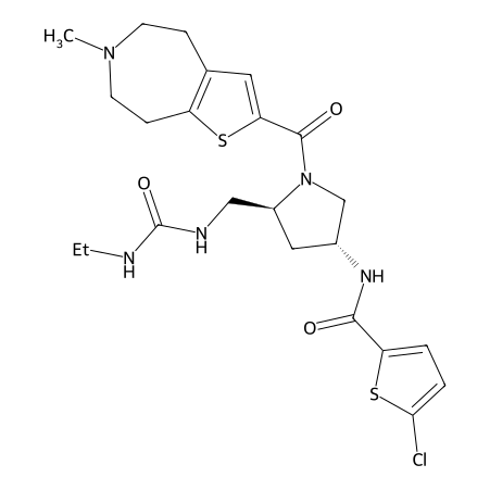 CCNC(=O)NC[C@@H]1C[C@@H](NC(=O)c2ccc(Cl)s2)CN1C(=O)c1cc2c(s1)CCN(C)CC2